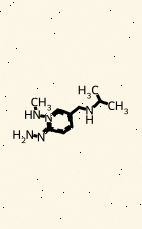 CNn1cc(CNC(C)C)cc/c1=N/N